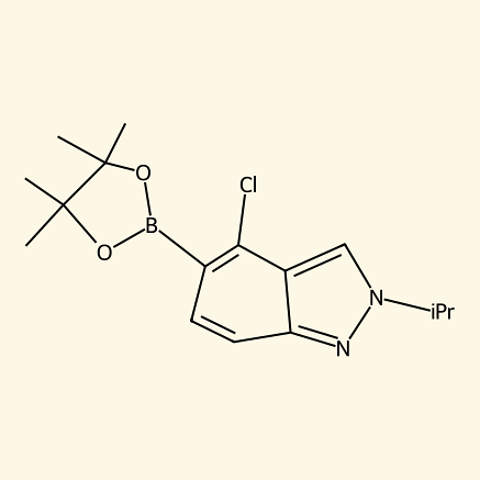 CC(C)n1cc2c(Cl)c(B3OC(C)(C)C(C)(C)O3)ccc2n1